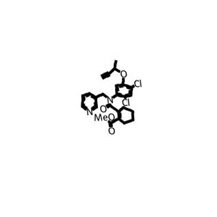 C#CC(C)Oc1cc(N(Cc2cccnc2)C(=O)C2=C(C(=O)OC)CCCC2)c(Cl)cc1Cl